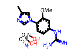 COc1cc(NC(=N)N)ccc1-n1cnc(C)c1.O=[N+]([O-])O.O=[N+]([O-])O.[N]